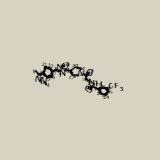 Cc1nn(C)c2cc(-c3noc(C4CCN(C(=O)CNC(=O)c5cccc(C(F)(F)F)c5)CC4)n3)ccc12